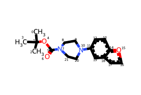 CC(C)(C)OC(=O)N1CCN(c2ccc3occc3c2)CC1